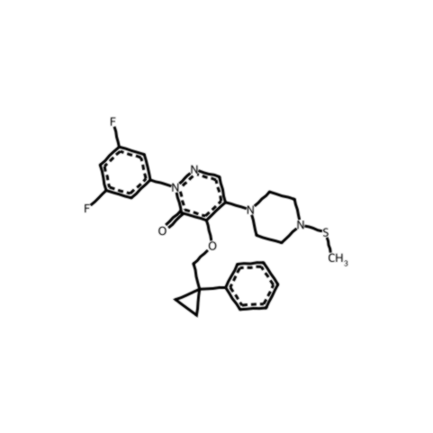 CSN1CCN(c2cnn(-c3cc(F)cc(F)c3)c(=O)c2OCC2(c3ccccc3)CC2)CC1